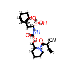 C#CC(C#N)C(=O)N1CCCCC1COC(=O)NC(CC1=CCCC=C1)B(O)O